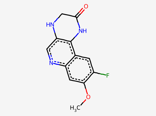 COc1cc2ncc3c(c2cc1F)NC(=O)CN3